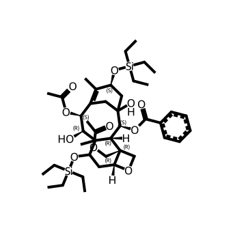 CC[Si](CC)(CC)OC1C[C@H]2OC[C@@]2(COC(C)=O)[C@H]2[C@H](OC(=O)c3ccccc3)C3(O)CC(=C(C)[C@@H](O[Si](CC)(CC)CC)C3)[C@H](OC(C)=O)[C@H](O)C12C